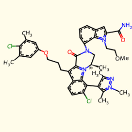 COCCn1c(C(N)=O)cc2cccc(N3C[C@@H](C)n4c(c(CCCOc5cc(C)c(Cl)c(C)c5)c5ccc(Cl)c(-c6c(C)nn(C)c6C)c54)C3=O)c21